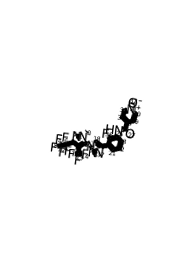 Cn1nc(C(F)(F)C(F)(F)F)c(C(F)(F)F)c1-n1cc(-c2cccc(NC(=O)c3cc[n+]([O-])cc3)c2F)nn1